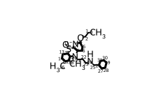 CCCOc1ccc2c(n1)[S+]([O-])c1ccc(C)c(C)c1N2CCCNCc1ccccc1